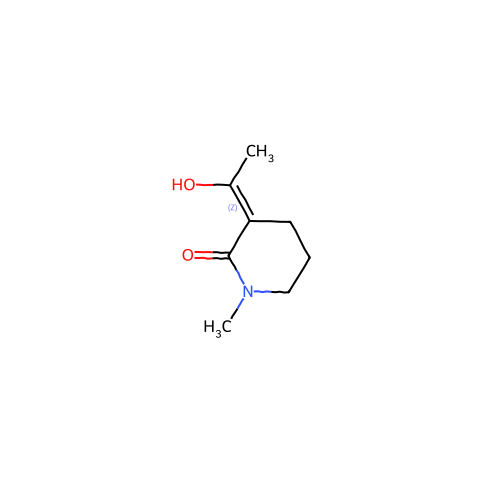 C/C(O)=C1\CCCN(C)C1=O